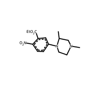 CCOC(=O)c1cc(N2CCN(C)CC2C)ccc1[N+](=O)[O-]